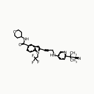 CC(C)(C#N)c1ccc(NCC#Cc2cc3cc(C(=O)NC4CCOCC4)ccc3n2CC(F)(F)F)cn1